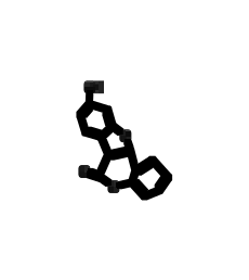 O=c1oc2ccccc2c2oc3cc(O)ccc3c12